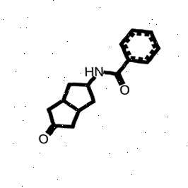 O=C1CC2CC(NC(=O)c3ccccc3)CC2C1